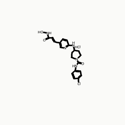 Cl.O=C(/C=C/c1ccc(NC2CCN(C(=O)Nc3ccc(Cl)cc3)CC2)nc1)NO